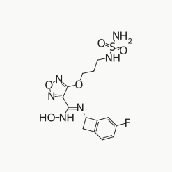 NS(=O)(=O)NCCCOc1nonc1/C(=N/[C@H]1Cc2ccc(F)cc21)NO